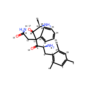 Cc1cc(C)c(C[C@H](N)C(=O)C(CC(N)=O)(C(=O)[C@@H](C)N)c2ccccc2)c(C)c1